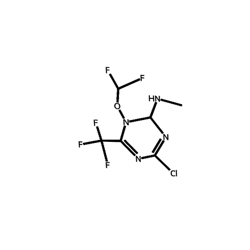 CNC1N=C(Cl)N=C(C(F)(F)F)N1OC(F)F